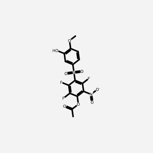 COc1ccc(S(=O)(=O)c2c(F)c(F)c(OC(C)=O)c([N+](=O)[O-])c2F)cc1O